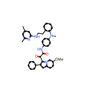 COc1ccc2cc(-c3ccccc3)c(C(=O)C(=O)Nc3ccc(N(C)c4ccccc4CCNc4cc(C)cc(C)n4)cc3)n2c1